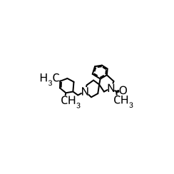 CC(=O)N1Cc2ccccc2C2(CCN(CC3CCC(C)=CC3C)CC2)C1